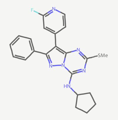 CSc1nc(NC2CCCC2)n2nc(-c3ccccc3)c(-c3ccnc(F)c3)c2n1